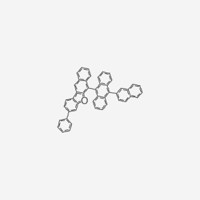 c1ccc(-c2ccc3c(c2)oc2c(-c4c5ccccc5c(-c5ccc6ccccc6c5)c5ccccc45)c4ccccc4cc23)cc1